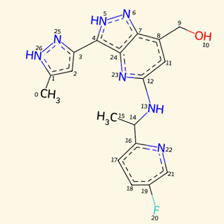 Cc1cc(-c2[nH]nc3c(CO)cc(NC(C)c4ccc(F)cn4)nc23)n[nH]1